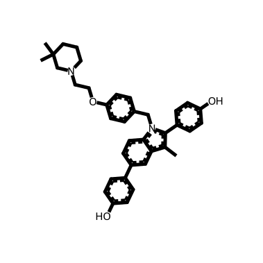 Cc1c(-c2ccc(O)cc2)n(Cc2ccc(OCCN3CCCC(C)(C)C3)cc2)c2ccc(-c3ccc(O)cc3)cc12